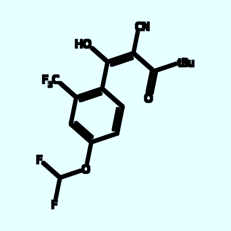 CC(C)(C)C(=O)C(C#N)=C(O)c1ccc(OC(F)F)cc1C(F)(F)F